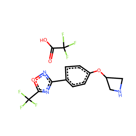 FC(F)(F)c1nc(-c2ccc(OC3CNC3)cc2)no1.O=C(O)C(F)(F)F